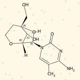 Cc1cn([C@@H]2O[C@@]3(CO)CCO[C@@H]2[C@@H]3O)c(=O)nc1N